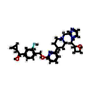 O=C(c1ccc(COc2cccc(C3CCN(Cc4nccn4C[C@@H]4CCO4)CC3)n2)c(F)c1)C1CC1